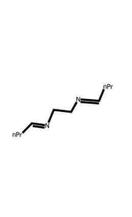 CCCC=NCCN=CCCC